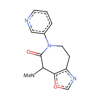 CNC1C(=O)N(c2cccnc2)CCc2ncoc21